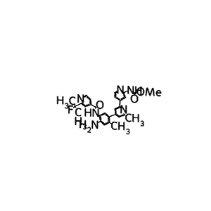 COC(=O)Nc1cc(-c2cc(-c3cc(NC(=O)c4ccnc(C(C)(C)F)c4)c(N)cc3C)cc(C)n2)ccn1